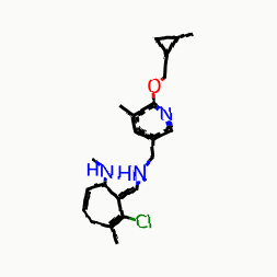 CNC1C=CCC(C)=C(Cl)/C1=C/NCc1cnc(OCC2CC2C)c(C)c1